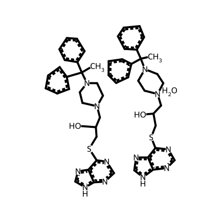 CC(c1ccccc1)(c1ccccc1)N1CCN(CC(O)CSc2ncnc3[nH]cnc23)CC1.CC(c1ccccc1)(c1ccccc1)N1CCN(CC(O)CSc2ncnc3[nH]cnc23)CC1.O